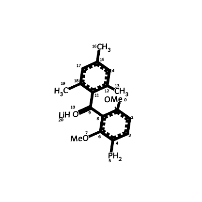 COc1ccc(P)c(OC)c1C(=O)c1c(C)cc(C)cc1C.[LiH]